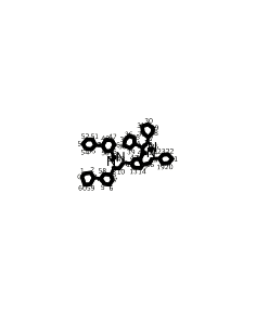 c1ccc(-c2cccc(-c3cc(-c4ccc5cc(-c6ccccc6)n6nc(-c7ccccc7)c(-c7ccccc7)c6c5c4)nc(-c4cccc(-c5ccccc5)c4)n3)c2)cc1